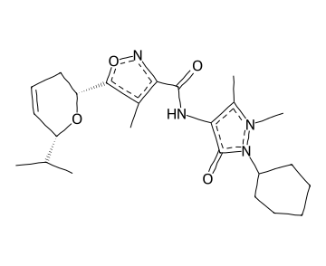 Cc1c(C(=O)Nc2c(C)n(C)n(C3CCCCC3)c2=O)noc1[C@H]1CC=C[C@@H](C(C)C)O1